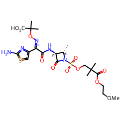 COCCOC(=O)C(C)(C)COS(=O)(=O)N1C(=O)[C@@H](NC(=O)/C(=N/OC(C)(C)C(=O)O)c2csc(N)n2)[C@@H]1C